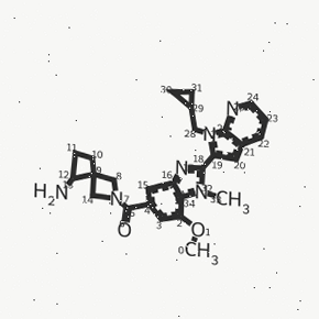 COc1cc(C(=O)N2CC3(CCC3N)C2)cc2nc(-c3cc4cccnc4n3CC3CC3)n(C)c12